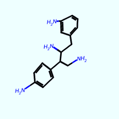 NCC(c1ccc(N)cc1)C(N)Cc1cccc(N)c1